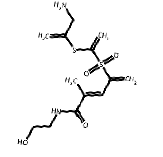 C=C(CN)SC(=C)S(=O)(=O)C(=C)/C=C(\C)C(=O)NCCO